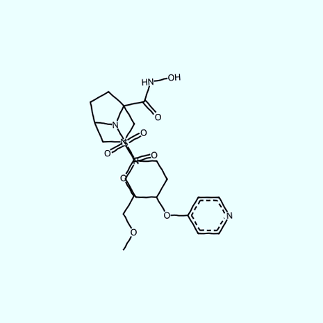 COCCOC(=O)N1CC2CCC(C(=O)NO)(C1)N2S(=O)(=O)N1CCC(Oc2ccncc2)CC1